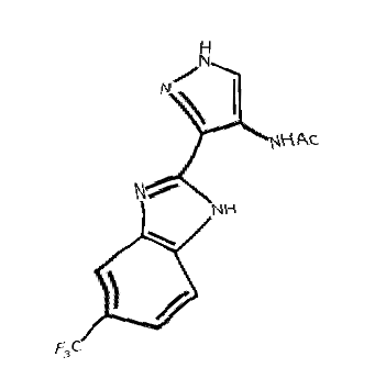 CC(=O)Nc1c[nH]nc1-c1nc2cc(C(F)(F)F)ccc2[nH]1